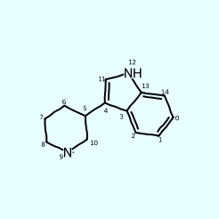 c1ccc2c(C3CCC[N]C3)c[nH]c2c1